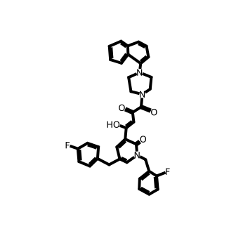 O=C(C=C(O)c1cc(Cc2ccc(F)cc2)cn(Cc2ccccc2F)c1=O)C(=O)N1CCN(c2cccc3ccccc23)CC1